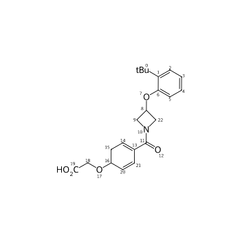 CC(C)(C)c1ccccc1OC1CN(C(=O)C2=CCC(OCC(=O)O)C=C2)C1